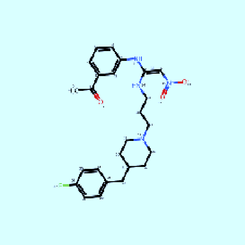 CC(=O)c1cccc(N/C(=C/[N+](=O)[O-])NCCCN2CCC(Cc3ccc(F)cc3)CC2)c1